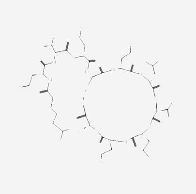 CC(C)CCCCC(=O)N[C@@H](CCN)C(=O)N[C@H](C(=O)N[C@@H](CCN)C(=O)N[C@H]1CCNC(=O)[C@H](C)NC(=O)[C@H](CCN)NC(=O)[C@H](CCN)NC(=O)[C@H](C(C)C)NC(=O)[C@@H](CC(C)C)NC(=O)[C@H](CCN)NC1=O)[C@@H](C)O